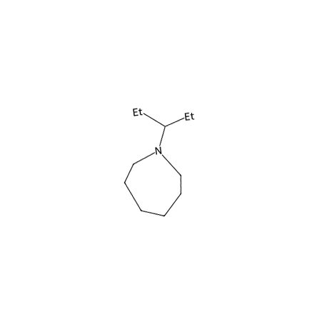 CCC(CC)N1CCCCCC1